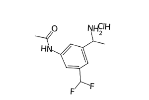 CC(=O)Nc1cc(C(C)N)cc(C(F)F)c1.Cl